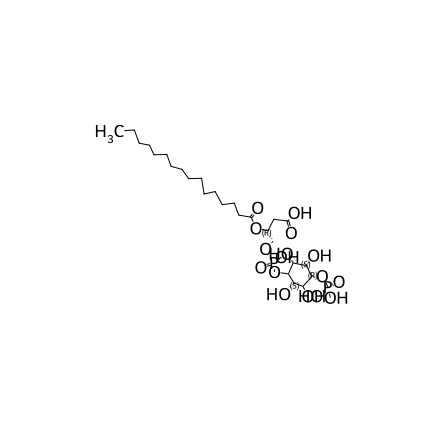 CCCCCCCCCCCCCCCC(=O)O[C@@H](COP(=O)(O)OC1C(O)[C@H](O)[C@H](OP(=O)(O)O)C(O)[C@@H]1O)CC(=O)O